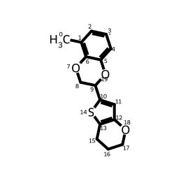 Cc1c[c]cc2c1OCC(c1cc3c(s1)CCCO3)O2